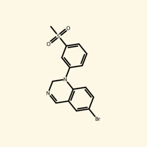 CS(=O)(=O)c1cccc(N2CN=Cc3cc(Br)ccc32)c1